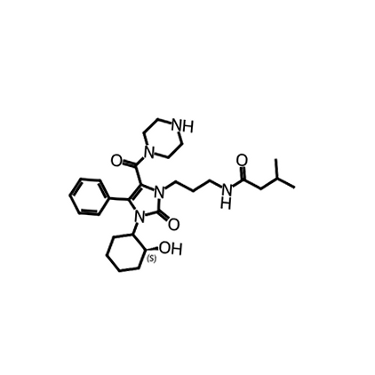 CC(C)CC(=O)NCCCn1c(C(=O)N2CCNCC2)c(-c2ccccc2)n(C2CCCC[C@@H]2O)c1=O